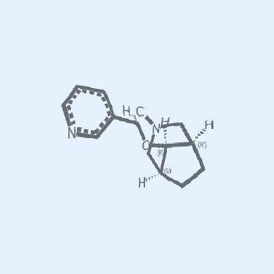 CN1C[C@H]2CC[C@@H](C1)[C@H]2OCc1cccnc1